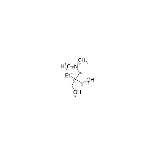 CCC(CO)(CO)CN(C)C